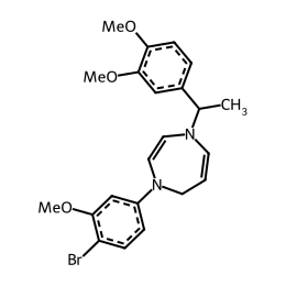 COc1cc(N2C=CN(C(C)c3ccc(OC)c(OC)c3)C=CC2)ccc1Br